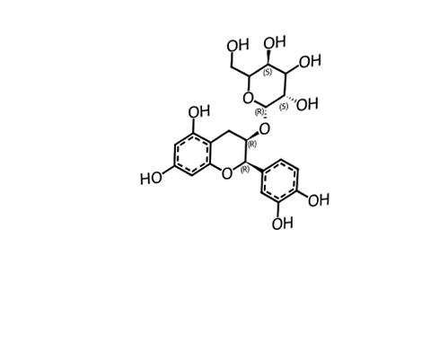 OCC1O[C@@H](O[C@@H]2Cc3c(O)cc(O)cc3O[C@@H]2c2ccc(O)c(O)c2)[C@@H](O)C(O)[C@@H]1O